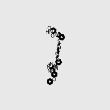 Nc1ncnc2c1c(-c1ccc(Oc3ccccc3)cc1)nn2[C@@H]1CCCN(CCOCCOCCSc2cccc3c2CN(C2CCC(=O)NC2=O)C3)C1